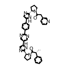 [CH2][C@@H](C(=O)N1CCC[C@H]1c1ncc(-c2cnc(-c3ccc(-c4cnc([C@@H]5CCCN5C(=O)Cc5cccnc5)[nH]4)cc3)nc2)[nH]1)c1ccccc1